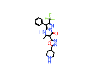 Cc1[nH]c2c(-c3ccccc3)c(C(F)(F)F)nn2c(=O)c1-c1nnc(C2CCNCC2)o1